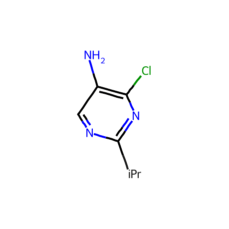 CC(C)c1ncc(N)c(Cl)n1